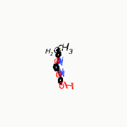 C=C(C)c1ccc(-c2nnc(-c3cccc(-c4nnc(-c5ccc(O)cc5)o4)c3)o2)cc1